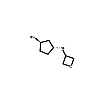 CC(C)(C)[C@@H]1CC[C@@H](NC2COC2)C1